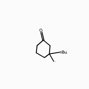 [CH2]C1(CCCC)CCCC(=O)C1